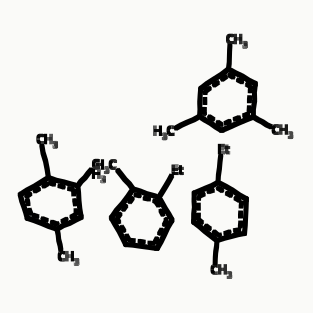 CCc1ccc(C)cc1.CCc1ccccc1C.Cc1cc(C)cc(C)c1.Cc1ccc(C)c(C)c1